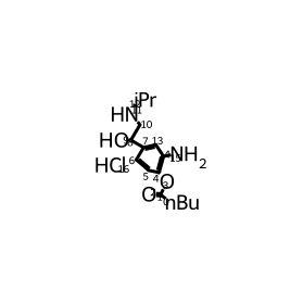 CCCCC(=O)Oc1ccc(C(O)CNC(C)C)cc1N.Cl